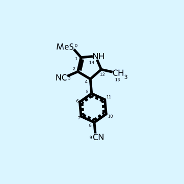 CSC1=C(C#N)C(c2ccc(C#N)cc2)C(C)N1